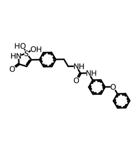 O=C1C=C(c2ccc(CCNC(=O)Nc3cccc(Oc4ccccc4)c3)cc2)S(O)(O)N1